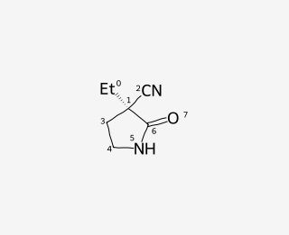 CC[C@@]1(C#N)CCNC1=O